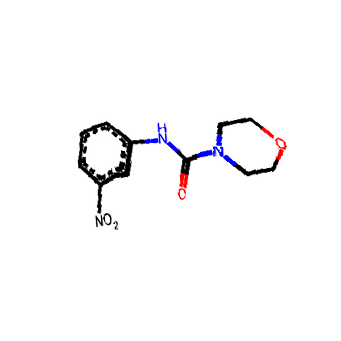 O=C(Nc1cccc([N+](=O)[O-])c1)N1CCOCC1